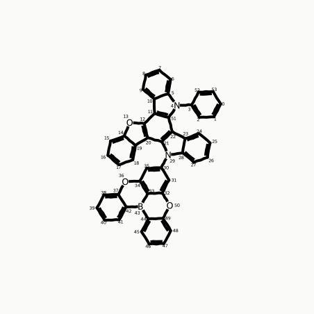 c1ccc(-n2c3ccccc3c3c4oc5ccccc5c4c4c(c5ccccc5n4-c4cc5c6c(c4)Oc4ccccc4B6c4ccccc4O5)c32)cc1